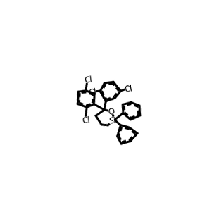 Clc1ccc(Cl)c(C2(c3cc(Cl)ccc3Cl)CCC[Si](c3ccccc3)(c3ccccc3)O2)c1